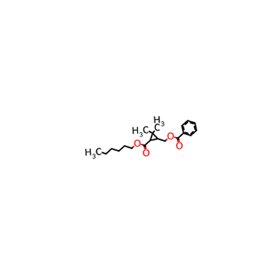 CCCCCCOC(=O)C1C(COC(=O)c2ccccc2)C1(C)C